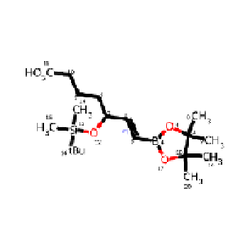 CC1(C)OB(/C=C/C(CCCC(=O)O)O[Si](C)(C)C(C)(C)C)OC1(C)C